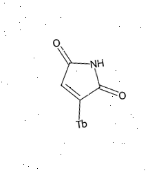 O=C1C=[C]([Tb])C(=O)N1